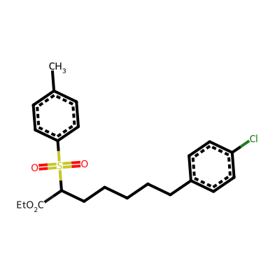 CCOC(=O)C(CCCCCc1ccc(Cl)cc1)S(=O)(=O)c1ccc(C)cc1